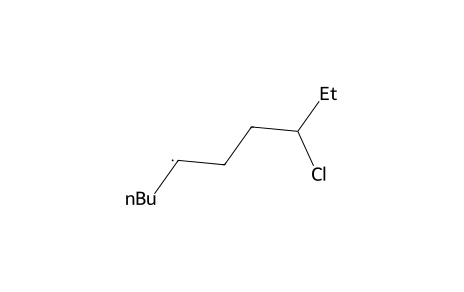 CCCC[CH]CCC(Cl)CC